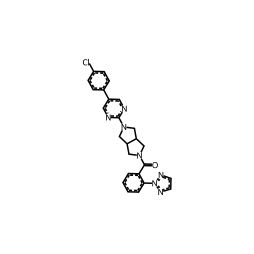 O=C(c1ccccc1-n1nccn1)N1CC2CN(c3ncc(-c4ccc(Cl)cc4)cn3)CC2C1